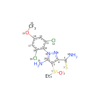 CC[S+]([O-])c1c(C(N)=S)nn(-c2c(Cl)cc(OC(F)(F)F)cc2Cl)c1N